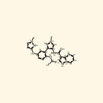 Cn1ccc(Oc2ccc(OC(F)F)c(-c3nn(C)cc3NC(=O)c3cnn4cccnc34)c2)n1